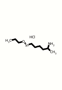 CCC[O][Sn][CH2]CCCC(C)N.Cl